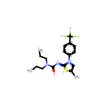 CCCN(CCC)C(=O)N=c1sc(C)cn1-c1ccc(C(F)(F)F)cc1